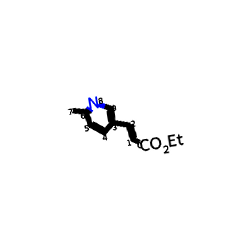 CCOC(=O)C=Cc1ccc(C)nc1